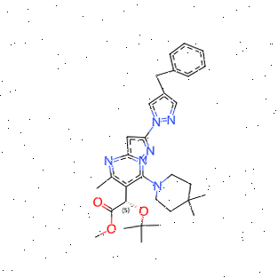 COC(=O)[C@@H](OC(C)(C)C)c1c(C)nc2cc(-n3cc(Cc4ccccc4)cn3)nn2c1N1CCC(C)(C)CC1